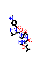 CC(=O)N[C@@H](CCC(C)C)C(=O)N1CC(=O)[C@@H]2C1CCN2C(=O)[C@H](CC(C)C)NC(=O)c1ccc(N(C)C)cc1